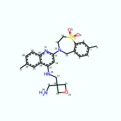 Cc1ccc2c(c1)S(=O)(=O)CCN(c1cc(NCC3(CN)COC3)c3cc(C)ccc3n1)C2